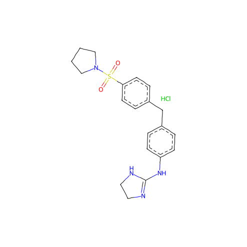 Cl.O=S(=O)(c1ccc(Cc2ccc(NC3=NCCN3)cc2)cc1)N1CCCC1